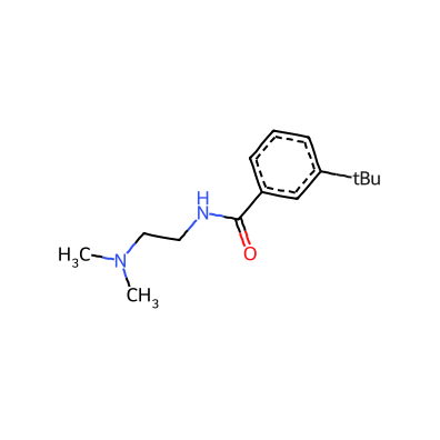 CN(C)CCNC(=O)c1cccc(C(C)(C)C)c1